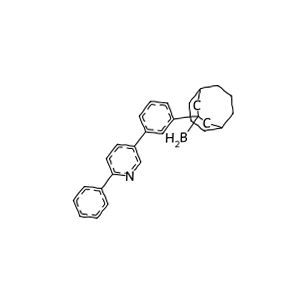 BC1(c2cccc(-c3ccc(-c4ccccc4)nc3)c2)CC2CCCC(CCC2)C1